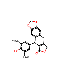 COc1cc(C2C3=C(COC3=O)Cc3cc4c(cc32)OCO4)cc(OC)c1O